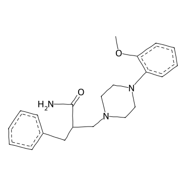 COc1ccccc1N1CCN(CC(Cc2ccccc2)C(N)=O)CC1